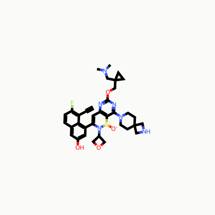 C#Cc1c(F)ccc2cc(O)cc(C3=Cc4nc(OCC5(CN(C)C)CC5)nc(N5CCC6(CC5)CNC6)c4[S+]([O-])N3C3COC3)c12